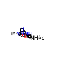 CC(=O)Nc1ccc(C(=O)NC(CC2CCCCC2)C(=O)NC2(C#N)CCN(C(C)C)CC2)cc1